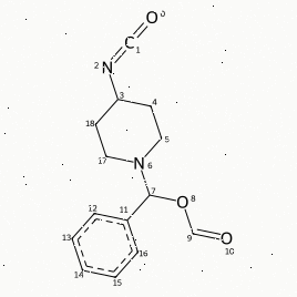 O=C=NC1CCN(C(OC=O)c2ccccc2)CC1